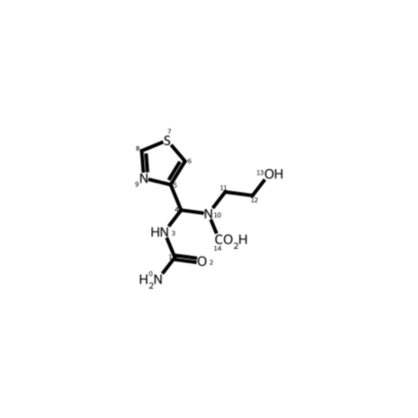 NC(=O)NC(c1cscn1)N(CCO)C(=O)O